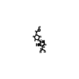 COC[C@@H]1CC[C@H](c2ncc(C(C)C)[nH]2)C1